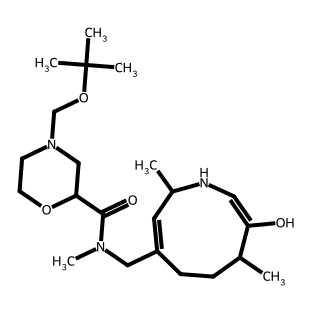 CC1/C=C(/CN(C)C(=O)C2CN(COC(C)(C)C)CCO2)CCC(C)/C(O)=C\N1